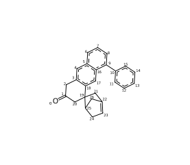 O=C1Cc2cc3cccc(-c4ccccc4)c3cc2C2(C1)CC1=CCC2C1